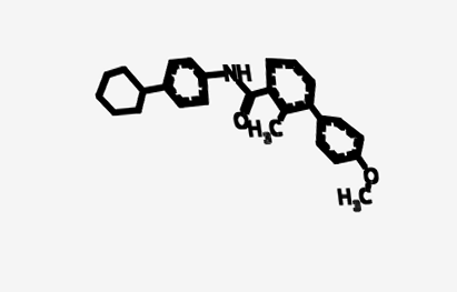 COc1ccc(-c2cccc(C(=O)Nc3ccc(C4CCCCC4)cc3)c2C)cc1